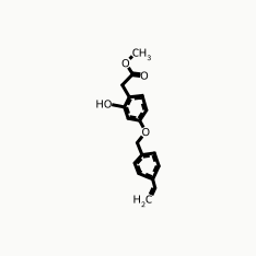 C=Cc1ccc(COc2ccc(CC(=O)OC)c(O)c2)cc1